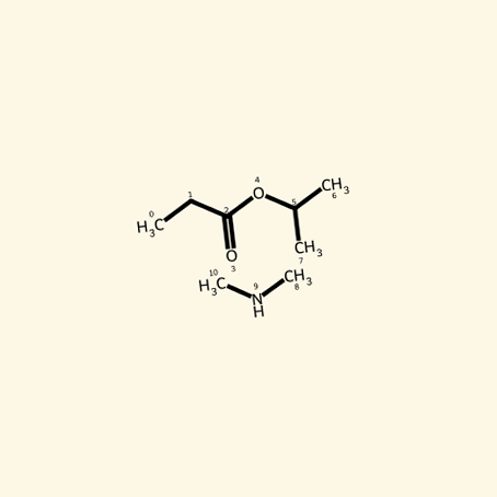 CCC(=O)OC(C)C.CNC